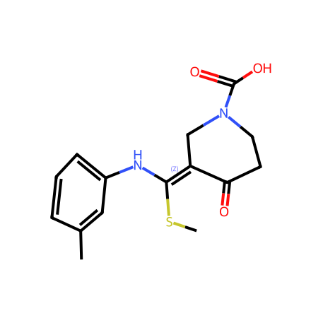 CS/C(Nc1cccc(C)c1)=C1/CN(C(=O)O)CCC1=O